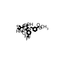 COC(=O)c1cccc(Cn2c(C(=O)O)c(-n3c(=O)[nH]c4cscc4c3=O)c3cc(C(F)(F)F)ccc32)c1